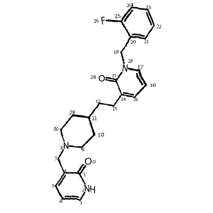 O=c1[nH]cccc1CN1CCC(CCc2cccn(Cc3ccccc3F)c2=O)CC1